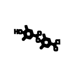 Cc1cc(C(=O)Oc2c(C)cc(C(=O)Cl)cc2C)cc(C)c1O